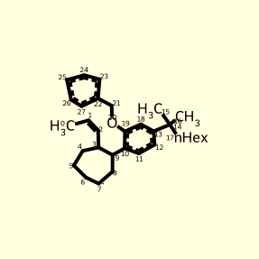 C/C=C\C1CCC[CH]CC1c1ccc(C(C)(C)CCCCCC)cc1OCc1ccccc1